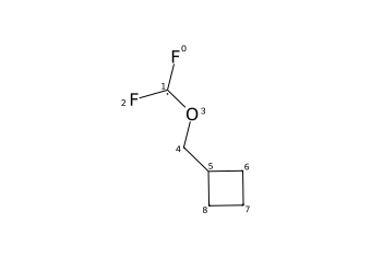 F[C](F)OCC1CCC1